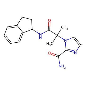 CC(C)(C(=O)NC1CCc2ccccc21)n1c[c]nc1C(N)=O